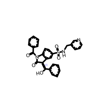 O=C1/C(=C(\O)c2ccccc2)c2cc(S(=O)(=O)NCc3cccnc3)ccc2N1C(=O)c1ccccc1